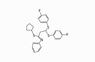 Fc1ccc(SC(CC(=Nc2ccccc2)SC2CCCC2)Sc2ccc(F)cc2)cc1